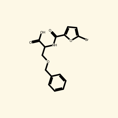 O=C(NC(COCc1ccccc1)C(=O)O)c1ccc(Br)o1